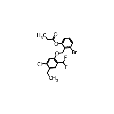 CCC(=O)Oc1cccc(Br)c1COc1cc(Cl)c(CC)cc1C(F)F